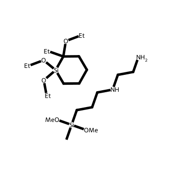 CCOC1(CC)CCCC[Si]1(OCC)OCC.CO[Si](C)(CCCNCCN)OC